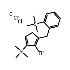 C[Si](C)(C)C1=CCC(Cc2ccccc2[Si](C)(C)C)=[C]1[Ti+3].[Cl-].[Cl-].[Cl-]